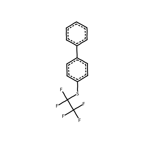 FC(F)(F)C(F)(F)Sc1ccc(-c2ccccc2)cc1